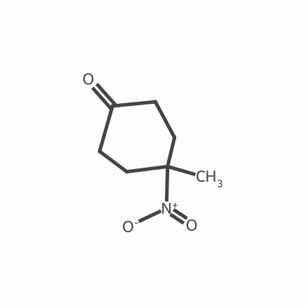 CC1([N+](=O)[O-])CCC(=O)CC1